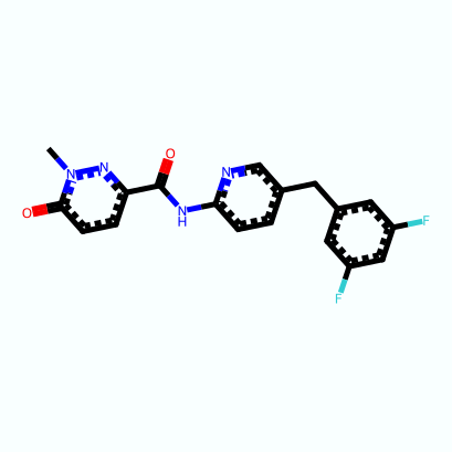 Cn1nc(C(=O)Nc2ccc(Cc3cc(F)cc(F)c3)cn2)ccc1=O